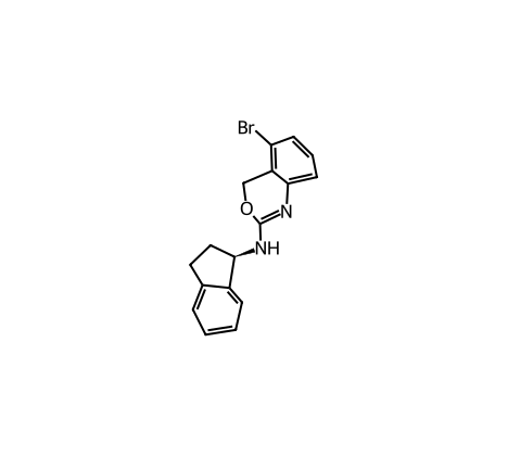 Brc1cccc2c1COC(N[C@@H]1CCc3ccccc31)=N2